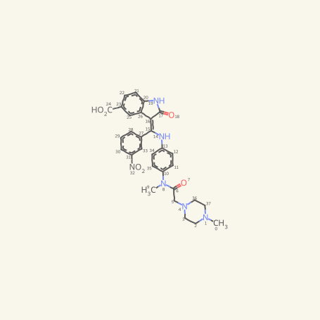 CN1CCN(CC(=O)N(C)c2ccc(N/C(=C3\C(=O)Nc4ccc(C(=O)O)cc43)c3cccc([N+](=O)[O-])c3)cc2)CC1